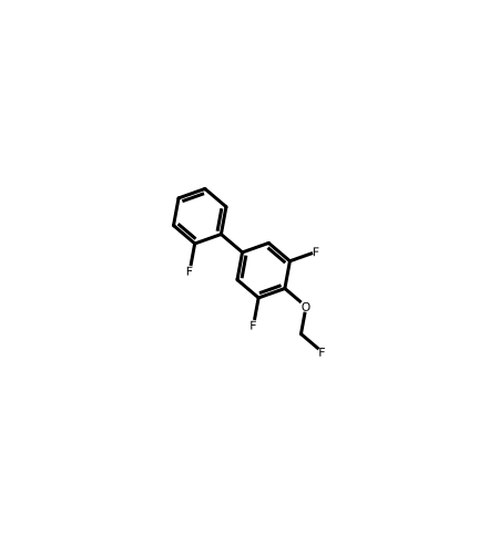 FCOc1c(F)cc(-c2ccccc2F)cc1F